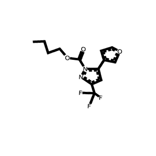 CCCCOC(=O)n1nc(C(F)(F)F)cc1-c1ccoc1